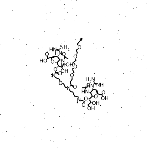 C#CCOCCOCCOCCOCCC(=O)N(CCCCN(C)C(=O)O[C@@H]([C@@H]1OC(C(=O)O)=C[C@H](NC(=N)N)[C@H]1NC(C)=O)[C@H](O)CO)CCOCCN(C)C(=O)O[C@@H]([C@@H]1OC(C(=O)O)=C[C@H](NC(=N)N)[C@H]1NC(C)=O)[C@H](O)CO